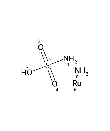 N.NS(=O)(=O)O.[Ru]